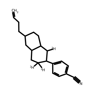 [2H]C1C2CCC(CCC=C)CC2CC([2H])([2H])C1c1ccc(C#N)cc1